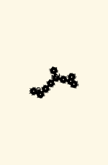 c1ccc(-c2nc(-c3ccc(-c4ccc(-c5cccc6c5oc5ccccc56)cc4)cc3)cc(-c3ccc(-c4cc5ccccc5c5ccccc45)cc3)n2)cc1